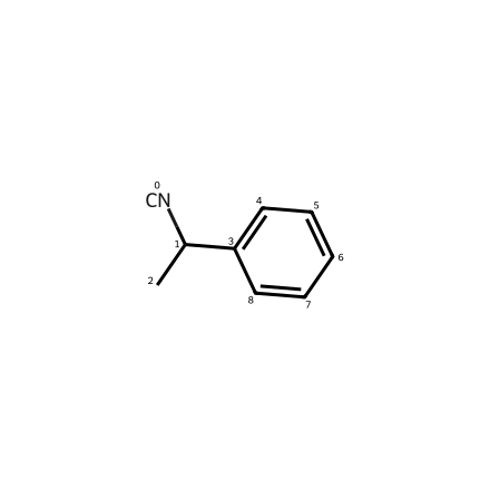 [C-]#[N+]C(C)c1ccccc1